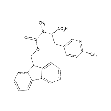 Cc1ccc(CC(C(=O)O)N(C)C(=O)OCC2c3ccccc3-c3ccccc32)cn1